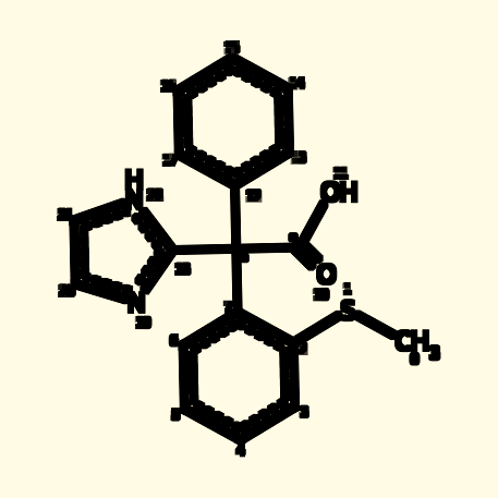 CSc1ccccc1C(C(=O)O)(c1ccccc1)c1ncc[nH]1